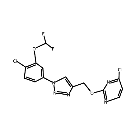 FC(F)Oc1cc(-n2cc(COc3nccc(Cl)n3)nn2)ccc1Cl